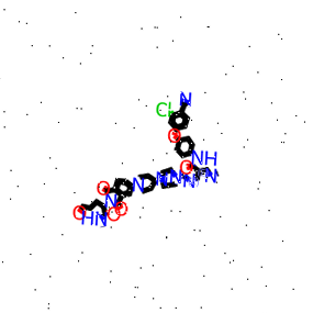 C=N/C=C(\C=N/CN1CCN(C2CCN(c3ccc4c(c3)C(=O)N(C(CCC=O)C(=O)NC)C4=O)CC2)CC1)C(=O)NC1CCC(Oc2ccc(C#N)c(Cl)c2)CC1